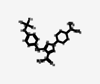 CN(C)C1CCC(n2cc(C(N)=O)c(Nc3ccc(OC(F)(F)F)cc3)n2)CC1